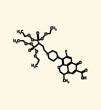 CCOOP(=O)(OOCC)C(CCN1CCN(c2c(F)cc3c(=O)c(C(=O)O)cn4c3c2OCC4C)CC1)P(=O)(OOCC)OOCC